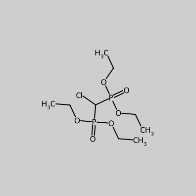 CCOP(=O)(OCC)C(Cl)P(=O)(OCC)OCC